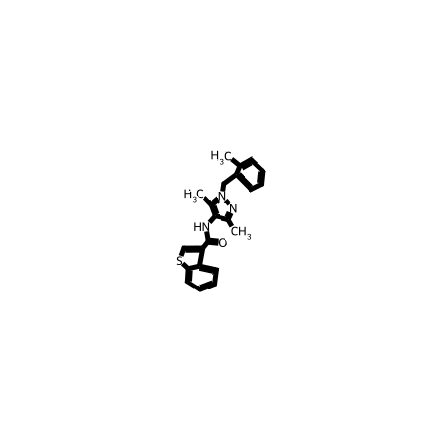 Cc1ccccc1Cn1nc(C)c(NC(=O)c2csc3ccccc23)c1C